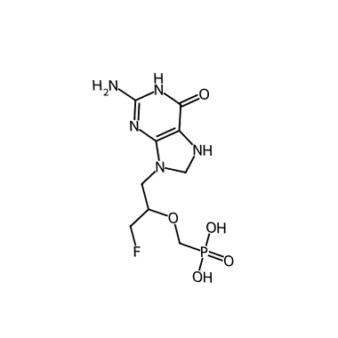 Nc1nc2c(c(=O)[nH]1)NCN2CC(CF)OCP(=O)(O)O